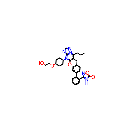 CCCc1c(Cc2ccc(-c3ccccc3-c3noc(=O)[nH]3)cc2)c(=O)n(C2CCC(OCCO)CC2)c2ncnn12